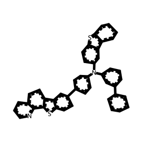 c1ccc(-c2cccc(N(c3ccc(-c4ccc5sc6c(ccc7cccnc76)c5c4)cc3)c3ccc4sc5ccccc5c4c3)c2)cc1